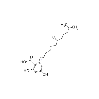 CC(C)CCCC(=O)CCCC/C=C/c1cc(O)cc(O)c1C(=O)O